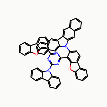 c1ccc2cc3c(cc2c1)c1cc2ccccc2cc1n3-c1ccc2c(oc3ccccc32)c1-c1nc(-c2cccc3c2oc2ccccc23)nc(-n2c3ccccc3c3ccccc32)n1